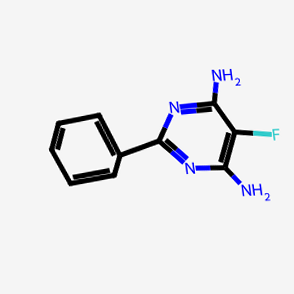 Nc1nc(-c2ccccc2)nc(N)c1F